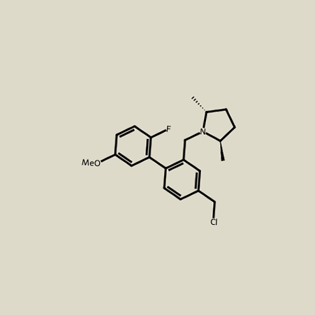 COc1ccc(F)c(-c2ccc(CCl)cc2CN2[C@H](C)CC[C@H]2C)c1